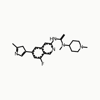 C=C(Nc1cc2cc(C3=CN=C(C)C3)cc(F)c2cn1)N(C)C1CCN(C)CC1